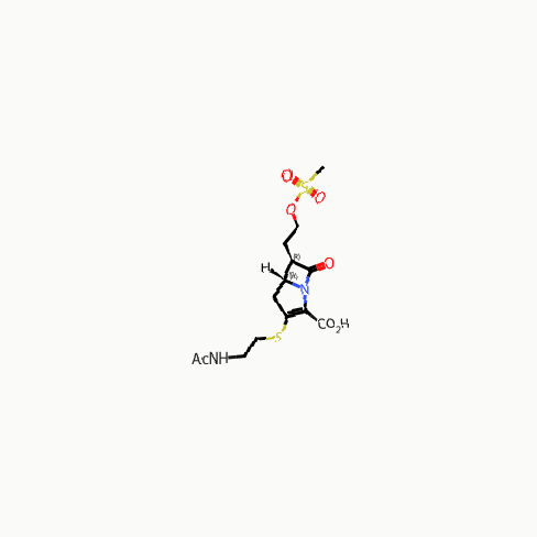 CC(=O)NCCSC1=C(C(=O)O)N2C(=O)[C@H](CCOS(C)(=O)=O)[C@H]2C1